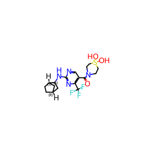 O=C(c1cnc(N[C@H]2C[C@@H]3CC[C@H]2C3)nc1C(F)(F)F)N1CCS(O)(O)CC1